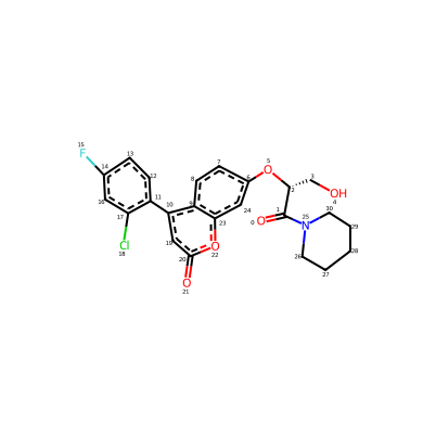 O=C([C@@H](CO)Oc1ccc2c(-c3ccc(F)cc3Cl)cc(=O)oc2c1)N1CCCCC1